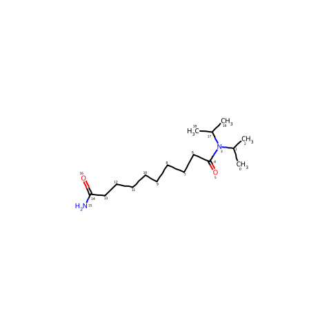 CC(C)N(C(=O)CCCCCCCCC(N)=O)C(C)C